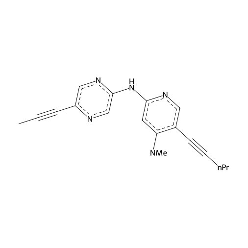 CC#Cc1cnc(Nc2cc(NC)c(C#CCCC)cn2)cn1